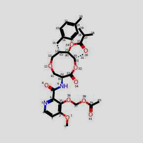 COc1ccnc(C(=O)N[C@H]2COC[C@H](Cc3ccc(C)cc3)[C@@H](OC(=O)C(C)C)[C@H](C)OC2=O)c1OCOC(C)=O